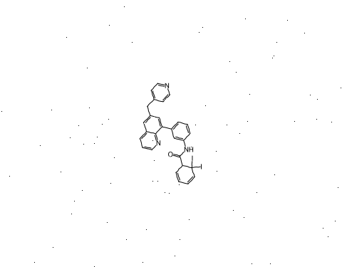 O=C(Nc1cccc(-c2cc(Cc3ccncc3)cc3cccnc23)c1)C1C=CC=CC1(I)I